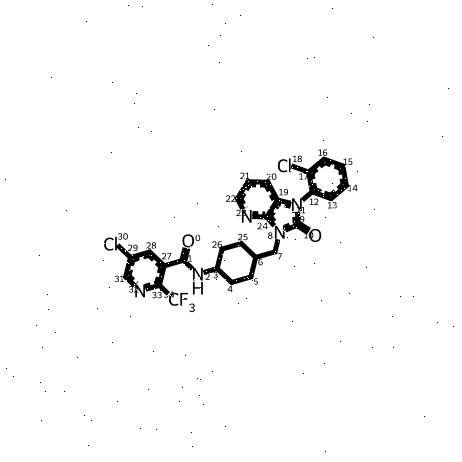 O=C(NC1CCC(Cn2c(=O)n(-c3ccccc3Cl)c3cccnc32)CC1)c1cc(Cl)cnc1C(F)(F)F